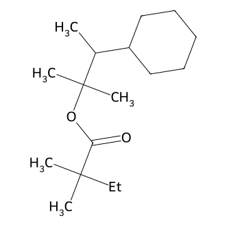 CCC(C)(C)C(=O)OC(C)(C)C(C)C1CCCCC1